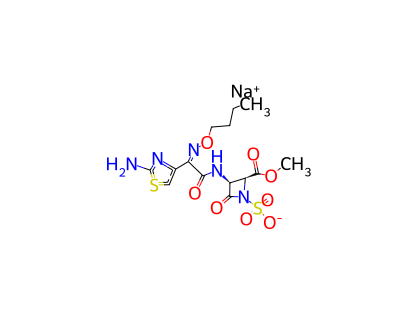 CCCCON=C(C(=O)N[C@@H]1C(=O)N(S(=O)(=O)[O-])[C@@H]1C(=O)OC)c1csc(N)n1.[Na+]